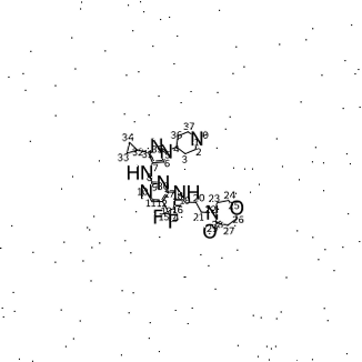 CN1CCC(n2cc(Nc3ncc(C(F)(F)F)c(NCCCN4CCOCCC4=O)n3)c(C3CC3)n2)CC1